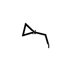 ICN1CC1